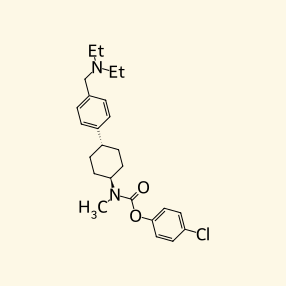 CCN(CC)Cc1ccc([C@H]2CC[C@H](N(C)C(=O)Oc3ccc(Cl)cc3)CC2)cc1